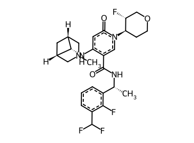 C[C@@H](NC(=O)c1cn([C@@H]2CCOC[C@H]2F)c(=O)cc1N[C@H]1[C@@H]2C[C@H]1CN(C)C2)c1cccc(C(F)F)c1F